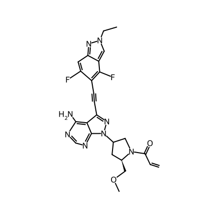 C=CC(=O)N1CC(n2nc(C#Cc3c(F)cc4nn(CC)cc4c3F)c3c(N)ncnc32)C[C@@H]1COC